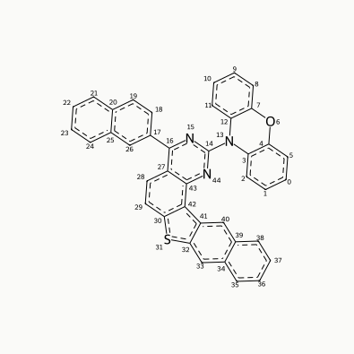 c1ccc2c(c1)Oc1ccccc1N2c1nc(-c2ccc3ccccc3c2)c2ccc3sc4cc5ccccc5cc4c3c2n1